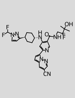 CC(C)(O)[C@H](F)CNC(=O)c1cnc(-c2ccc3cc(C#N)cnn23)cc1N[C@H]1CC[C@H](c2ccn(C(F)F)n2)CC1